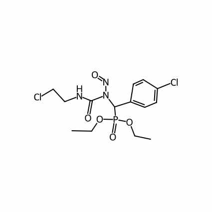 CCOP(=O)(OCC)C(c1ccc(Cl)cc1)N(N=O)C(=O)NCCCl